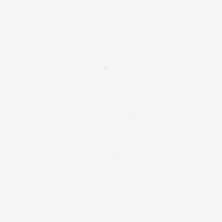 C1CSC(C[C@H]2COCCO2)SC1